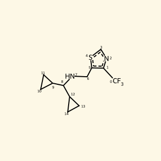 FC(F)(F)c1n[c]sc1CNC(C1CC1)C1CC1